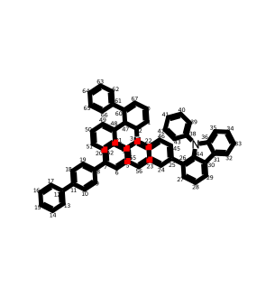 C1=CC(N(c2ccc(-c3ccc(-c4ccccc4)cc3)cc2)c2ccc(-c3cccc4c5ccccc5n(-c5ccccc5)c34)cc2)C(c2ccccc2-c2ccccc2)C(c2ccccc2)=C1